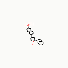 COc1ccc(-c2ccc3cc(C(=O)O)ccc3c2)cc1C1CC2CC3CC(C2)C(C3)C1